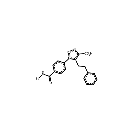 CCNC(=O)c1ccc(-n2nnc(C(=O)O)c2CCc2ccccc2)cc1